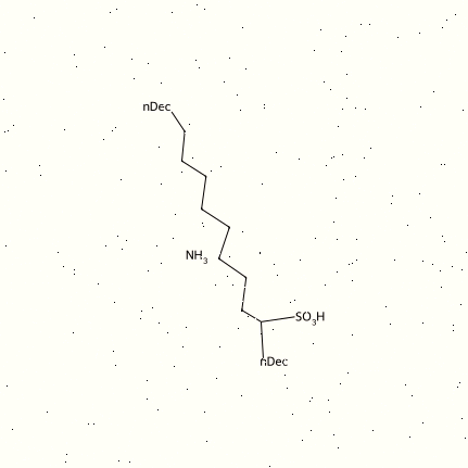 CCCCCCCCCCCCCCCCCCC(CCCCCCCCCC)S(=O)(=O)O.N